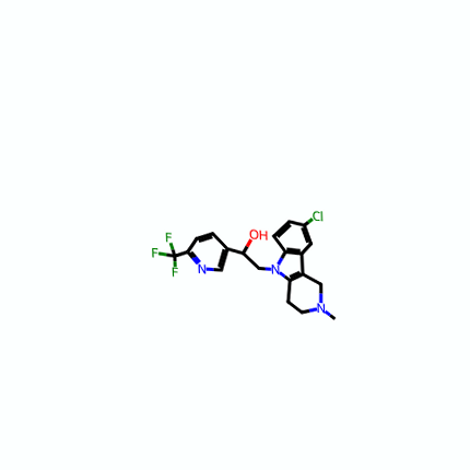 CN1CCc2c(c3cc(Cl)ccc3n2CC(O)c2ccc(C(F)(F)F)nc2)C1